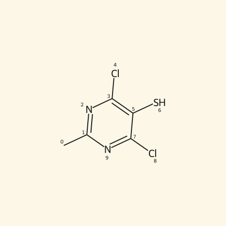 Cc1nc(Cl)c(S)c(Cl)n1